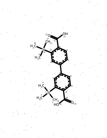 C[Si](C)(C)c1cc(-c2ccc(C(=O)O)c([Si](C)(C)C)c2)ccc1C(=O)O